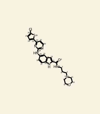 O=C(NCCCN1CCOCC1)c1cc2cc(Nc3nccc(-c4ccc(Cl)s4)n3)ccc2[nH]1